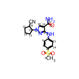 CS(=O)(=O)c1ccc(Nc2nn(C3CCCC3C#N)cc2C(N)=O)cc1